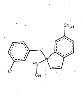 O=C(O)c1ccc2c(c1)[N+](Cc1cccc(Cl)c1)(NO)C=C2